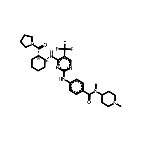 CN1CCC(N(C)C(=O)c2ccc(Nc3ncc(C(F)(F)F)c(N[C@@H]4CCCC[C@@H]4C(=O)N4CCCC4)n3)cc2)CC1